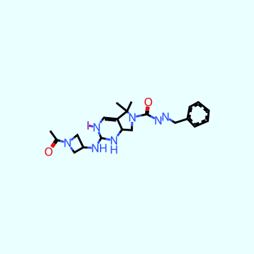 CC(=O)N1CC(NC2NC3CN(C(=O)N=NCc4ccccc4)C(C)(C)C3=CN2I)C1